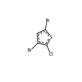 Clc1sc(Br)cc1Br